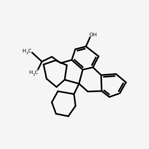 CC(C)CCc1cc(O)cc2c1C(C1CCCCC1)(C1CCCCC1)Cc1ccccc1-2